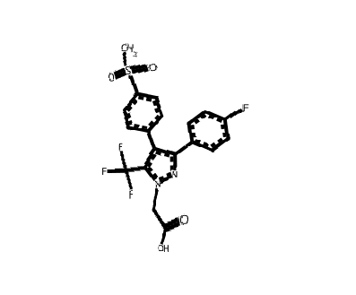 CS(=O)(=O)c1ccc(-c2c(-c3ccc(F)cc3)nn(CC(=O)O)c2C(F)(F)F)cc1